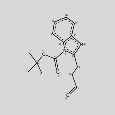 CC(C)(C)OC(=O)n1c(CCC=O)nc2ccccc21